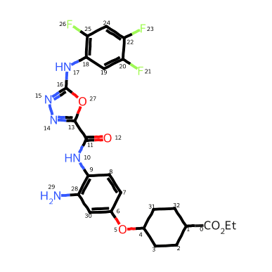 CCOC(=O)C1CCC(Oc2ccc(NC(=O)c3nnc(Nc4cc(F)c(F)cc4F)o3)c(N)c2)CC1